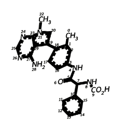 Cc1cc(NC(=O)C(NC(=O)O)c2ccccc2)ccc1-c1cn(C)c2ncnc(N)c12